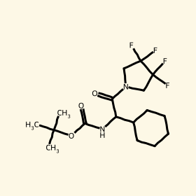 CC(C)(C)OC(=O)NC(C(=O)N1CC(F)(F)C(F)(F)C1)C1CCCCC1